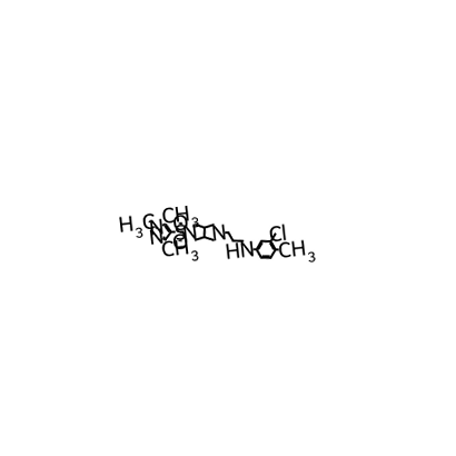 Cc1ccc(NCCCN2CC3CN(S(=O)(=O)c4c(C)nn(C)c4C)CC3C2)cc1Cl